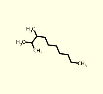 CCCCCCCC(C)C(C)C